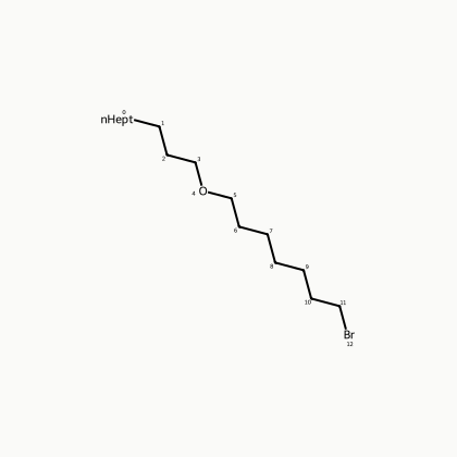 CCCCCCCCCCOCCCCCCCBr